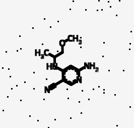 COCC(C)Nc1cc(N)ncc1C#N